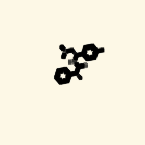 Cc1ccc([C@H](CN(C)C)NC(=O)[C@@H](C)c2ccccc2)cc1